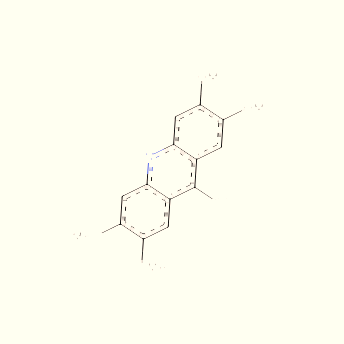 COc1cc2nc3cc(OC)c(OC)cc3c(C(=O)O)c2cc1OC